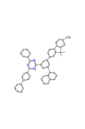 CC1(C)c2cc(C#N)ccc2-c2ccc(-c3cc(-c4nc(-c5ccccc5)nc(-c5ccc(-c6ccccc6)cc5)n4)cc(-c4cccc5ccccc45)c3)cc21